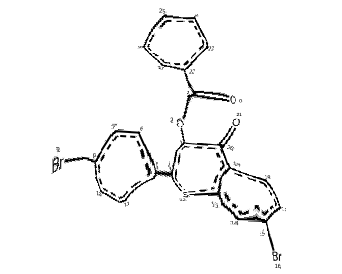 O=C(Oc1c(-c2ccc(Br)cc2)sc2cc(Br)ccc2c1=O)c1ccccc1